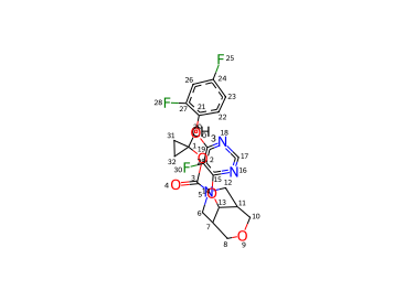 CC1(OC(=O)N2CC3COCC(C2)C3Oc2ncnc(Oc3ccc(F)cc3F)c2F)CC1